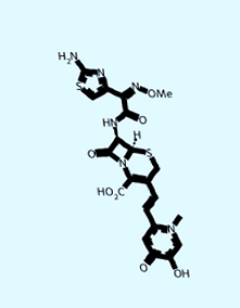 CO/N=C(\C(=O)N[C@@H]1C(=O)N2C(C(=O)O)=C(C=Cc3cc(=O)c(O)cn3C)CS[C@H]12)c1csc(N)n1